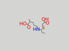 CCC(NCCCC(C)C(=O)O)SCC(=O)O